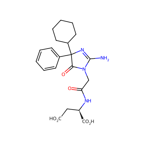 NC1=NC(c2ccccc2)(C2CCCCC2)C(=O)N1CC(=O)N[C@H](CC(=O)O)C(=O)O